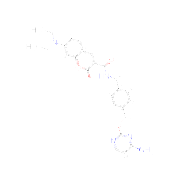 CCN(CC)c1ccc2cc(C(=O)NCc3ccc(COc4nccc(N)n4)cc3)c(=O)oc2c1